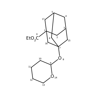 CCOC(=O)C12CC3CC(CC(OC4CCCCO4)(C3)C1)C2